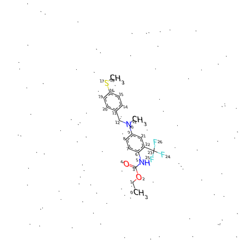 CCOC(=O)Nc1ccc(N(C)Cc2ccc(SC)cc2)cc1C(F)(F)F